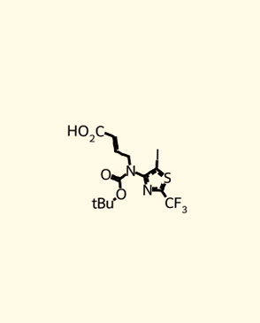 CC(C)(C)OC(=O)N(CC=CC(=O)O)c1nc(C(F)(F)F)sc1I